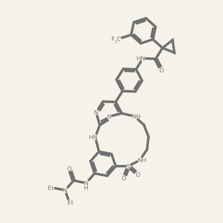 CCN(CC)C(=O)Nc1cc2cc(c1)S(=O)(=O)NCCCNc1nc(ncc1-c1ccc(NC(=O)C3(c4cccc(C(F)(F)F)c4)CC3)cc1)N2